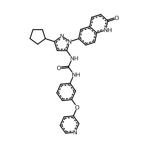 O=C(Nc1cccc(Oc2cccnc2)c1)Nc1cc(C2CCCC2)nn1-c1ccc2[nH]c(=O)ccc2c1